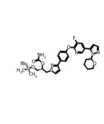 CC(C)(C)[Si](C)(C)OC[C@H](Cn1ccc(-c2ccc(Oc3ncc(-c4ccnn4C4CCCCO4)cc3F)cc2)n1)OC(N)=O